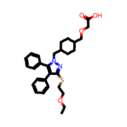 CCOCCSc1nn(CC2CCC(COCC(=O)O)CC2)c(-c2ccccc2)c1-c1ccccc1